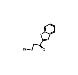 O=C(CCBr)c1cc2ccccc2s1